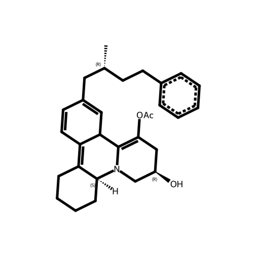 CC(=O)OC1=C2C3C=C(C[C@H](C)CCc4ccccc4)C=CC3=C3CCCC[C@@H]3N2C[C@H](O)C1